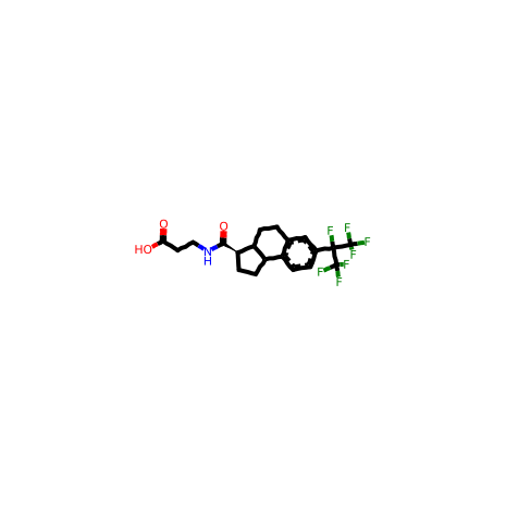 O=C(O)CCNC(=O)[C@@H]1CCC2c3ccc(C(F)(C(F)(F)F)C(F)(F)F)cc3CCC21